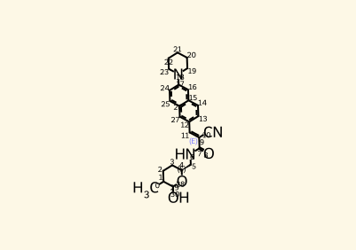 CC1CC[C@@H](CNC(=O)/C(C#N)=C/c2ccc3cc(N4CCCCC4)ccc3c2)OC1O